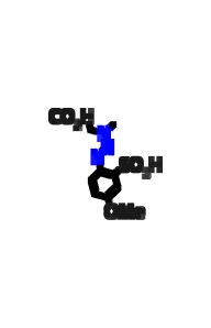 COc1ccc(N=NN(C)CC(=O)O)c(S(=O)(=O)O)c1